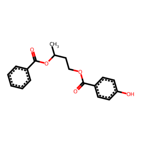 CC(CCOC(=O)c1ccc(O)cc1)OC(=O)c1ccccc1